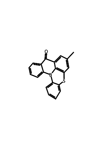 Cc1cc2c3c(c1)C(=O)c1ccccc1B3c1ccccc1S2